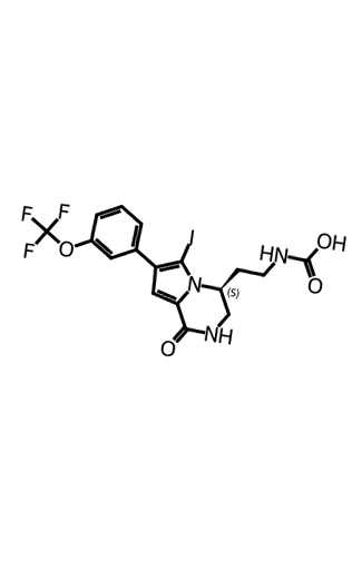 O=C(O)NCC[C@H]1CNC(=O)c2cc(-c3cccc(OC(F)(F)F)c3)c(I)n21